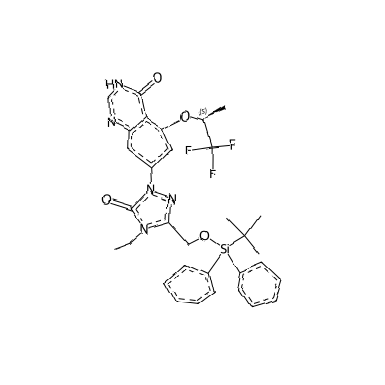 CCn1c(CO[Si](c2ccccc2)(c2ccccc2)C(C)(C)C)nn(-c2cc(O[C@@H](C)C(F)(F)F)c3c(=O)[nH]cnc3c2)c1=O